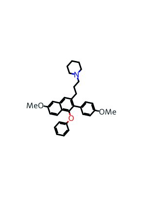 COc1ccc(-c2c(CCCN3CCCCC3)cc3cc(OC)ccc3c2Oc2ccccc2)cc1